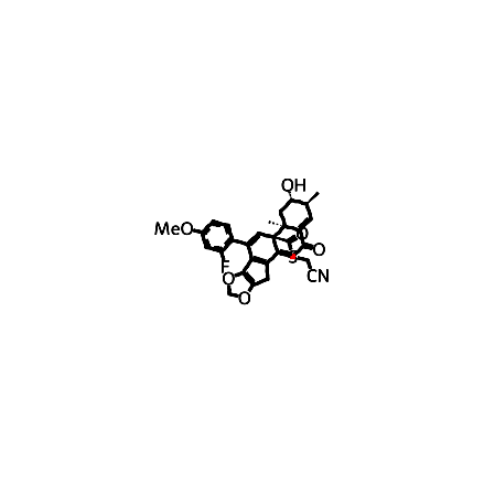 COc1ccc(C2=C[C@@]3(C(=O)SCC#N)C(=CC(=O)C4=C[C@H](C)[C@@H](O)C[C@@]43C)C3=C2C2=C(C3)OCO2)c(F)c1